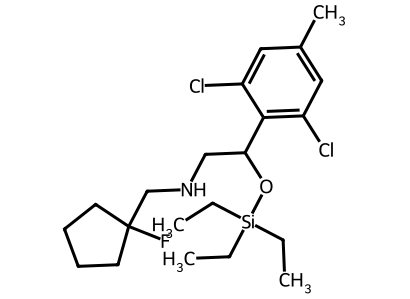 CC[Si](CC)(CC)OC(CNCC1(F)CCCC1)c1c(Cl)cc(C)cc1Cl